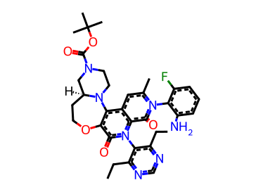 CCc1ncnc(CC)c1-n1c(=O)c2c(c3cc(C)n(-c4c(N)cccc4F)c(=O)c31)N1CCN(C(=O)OC(C)(C)C)C[C@@H]1CCO2